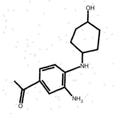 CC(=O)c1ccc(NC2CCC(O)CC2)c(N)c1